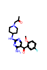 COc1ccc(F)cc1C(=O)c1cnc(NC2CCN(CC(C)=O)CC2)nc1N